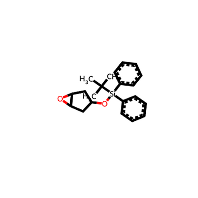 CC(C)(C)[Si](OC1CC2OC2C1)(c1ccccc1)c1ccccc1